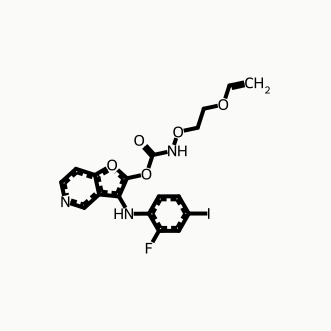 C=COCCONC(=O)Oc1oc2ccncc2c1Nc1ccc(I)cc1F